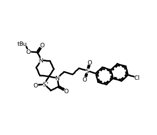 CC(C)(C)OC(=O)N1CCC2(CC1)N(CCCS(=O)(=O)c1ccc3cc(Cl)ccc3c1)C(=O)C[S+]2[O-]